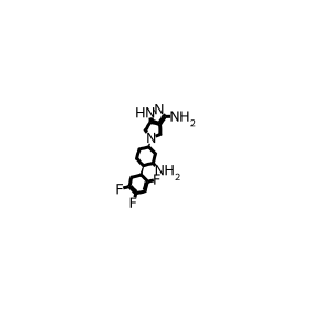 Nc1n[nH]c2c1CN([C@H]1CC[C@H](C3CC(F)=C(F)C=C3F)C(N)C1)C2